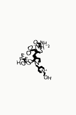 N[C@@H]1C(=O)N2C(C(=O)[O-])=C(C=C3CCN(Cc4cc[n+](CCO)cc4)C3=O)CS[C@H]12.O=C(O)C(F)(F)F